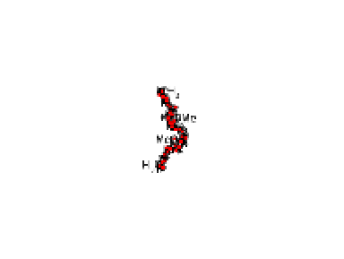 COCCn1c(Cc2cc(F)c(-c3cccc(OCc4ccc(-c5ccnn5C)cc4F)n3)cc2F)nc2ccc(C(=O)OC(=O)c3ccc4nc(Cc5cc(F)c(-c6cccc(OCc7ccc(-c8ccnn8C)cc7F)n6)cc5F)n(CCOC)c4c3)cc21